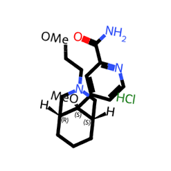 COCCN1C[C@H]2CCC[C@@H](C1)[C@@]2(OC)c1ccnc(C(N)=O)c1.Cl